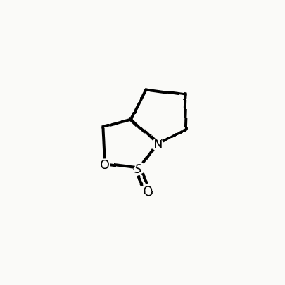 O=S1OCC2CCCN21